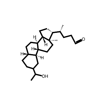 CC(O)C1CC[C@@H]2CC[C@@H]3[C@H](CC[C@]4(C)[C@@H]([C@H](C)CCC=O)CC[C@@H]34)[C@H]2C1